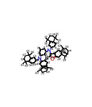 Cc1cc2c3c(c1)N(c1ccc4c(c1)C(C)(C)CCC4(C)C)c1c(oc4cc5c(cc14)C1(C)CCC(CC1)C5C)B3c1cc3c(cc1N2c1ccc2c(c1)C(C)(C)CCC2(C)C)C1(C)CCCC3(C)CC1